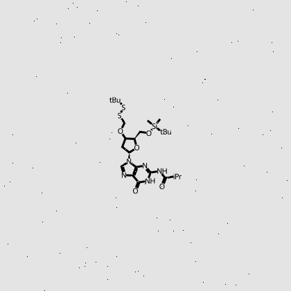 CC(C)C(=O)Nc1nc2c(ncn2[C@H]2CC(OCSSC(C)(C)C)[C@@H](CO[Si](C)(C)C(C)(C)C)O2)c(=O)[nH]1